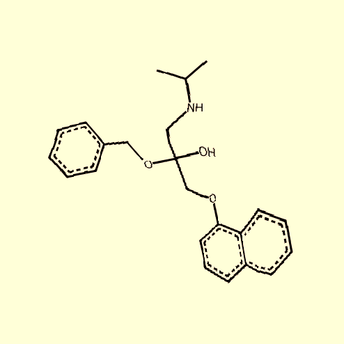 CC(C)NCC(O)(COc1cccc2ccccc12)OCc1ccccc1